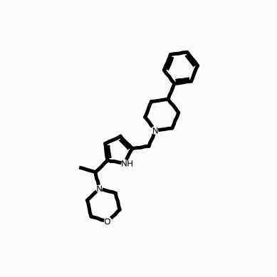 CC(c1ccc(CN2CCC(c3ccccc3)CC2)[nH]1)N1CCOCC1